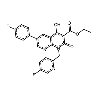 CCOC(=O)c1c(O)c2cc(-c3ccc(F)cc3)cnc2n(Cc2ccc(F)cn2)c1=O